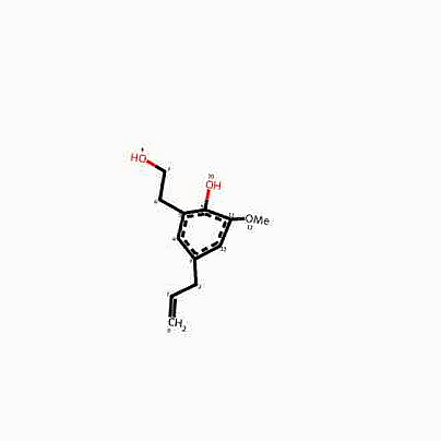 C=CCc1cc(CCO)c(O)c(OC)c1